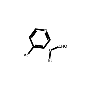 CC(=O)c1ccncc1.CCOC=O